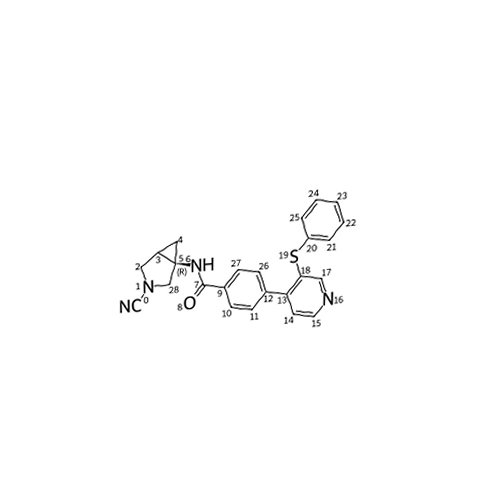 N#CN1CC2C[C@]2(NC(=O)c2ccc(-c3ccncc3Sc3ccccc3)cc2)C1